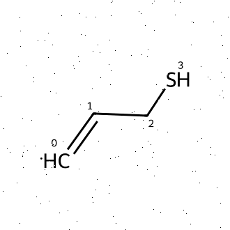 [CH]=CCS